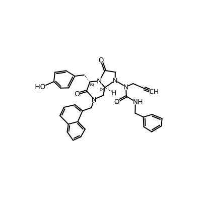 C#CCN(C(=O)NCc1ccccc1)N1CC(=O)N2[C@@H](Cc3ccc(O)cc3)C(=O)N(Cc3cccc4ccccc34)C[C@@H]21